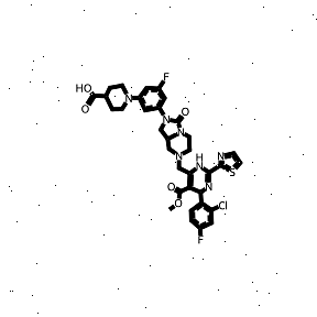 COC(=O)C1=C(CN2CCN3C(=O)N(c4cc(F)cc(N5CCC(C(=O)O)CC5)c4)CC3C2)NC(c2nccs2)=NC1c1ccc(F)cc1Cl